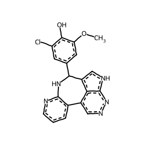 COc1cc(C2Nc3ncccc3-c3cnnc4[nH]cc2c34)cc(Cl)c1O